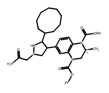 COC(=O)N1c2ccc(C3CN(CC(N)=O)NC3C3CCCCCCCC3)cc2N(C(=O)OC(C)C)C[C@@H]1C